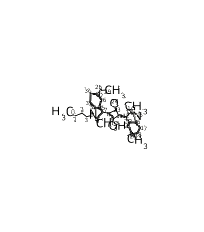 CCCCn1c(C)c(C2=C(O)/C(=C3/C(C)=Nc4ccc(C)cc43)C2=O)c2cc(CC)ccc21